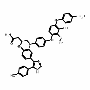 CC(C)Oc1c(Nc2ccc(NC[C@H](CC(N)=O)Nc3ccc(-c4nn[nH]c4-c4ccc(C#N)cc4)cc3)cc2)ccc(Nc2ccc(C(=O)O)cc2)c1O